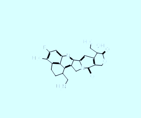 CC[C@@]1(O)C(=O)OCc2c1cc1n(c2=O)Cc2c-1nc1cc(F)c(C)c3c1c2C(CN)CC3